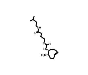 CC(C)CCNC(=O)CCCOC(=O)N[C@@H]1CC/C=C/CC[C@@H]1N